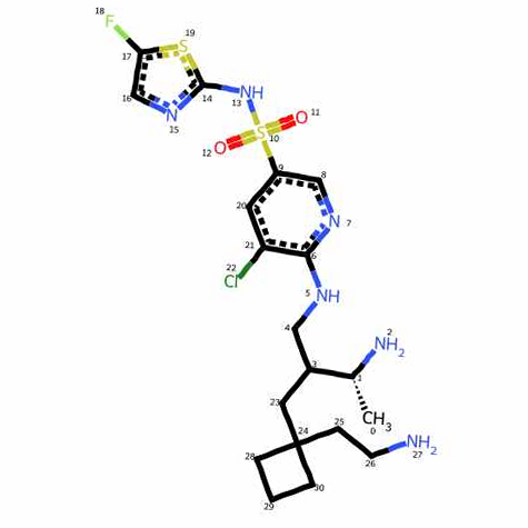 C[C@@H](N)C(CNc1ncc(S(=O)(=O)Nc2ncc(F)s2)cc1Cl)CC1(CCN)CCC1